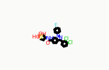 O=C(NC1CCS(O)(O)C1)c1ccc2c(-c3cccc(Cl)c3Cl)nn(-c3ccc(F)cc3)c2c1